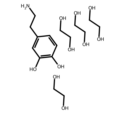 NCCc1ccc(O)c(O)c1.OCCO.OCCO.OCCO.OCCO